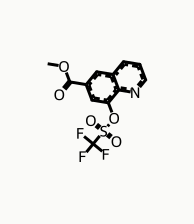 COC(=O)c1cc(OS(=O)(=O)C(F)(F)F)c2ncccc2c1